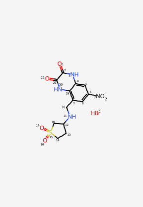 Br.O=c1[nH]c2cc([N+](=O)[O-])cc(CNC3CCS(=O)(=O)C3)c2[nH]c1=O